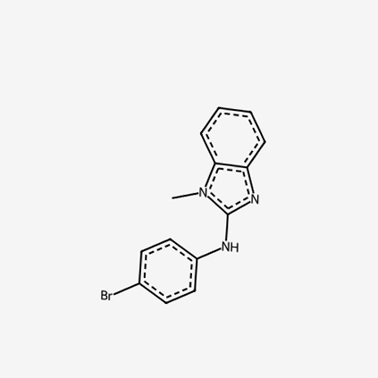 Cn1c(Nc2ccc(Br)cc2)nc2ccccc21